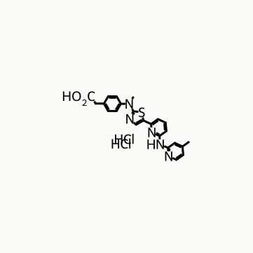 Cc1ccnc(Nc2cccc(-c3cnc(N(C)c4ccc(CC(=O)O)cc4)s3)n2)c1.Cl.Cl